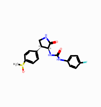 C[S+]([O-])c1ccc([C@@H]2CNC(=O)[C@H]2NC(=O)Nc2ccc(F)cc2)cc1